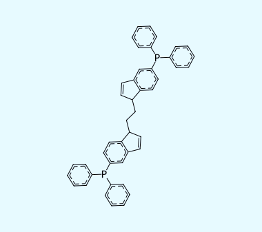 C1=CC(CCC2C=Cc3cc(P(c4ccccc4)c4ccccc4)ccc32)c2ccc(P(c3ccccc3)c3ccccc3)cc21